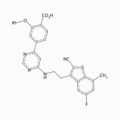 Cc1cc(F)cc2c(CCNc3cc(-c4ccc(C(=O)O)c(OC(C)C)c4)ncn3)c(C#N)sc12